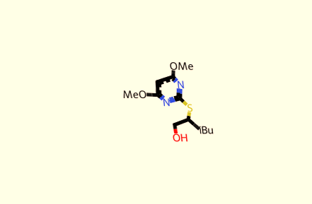 CCC(C)C(CO)Sc1nc(OC)cc(OC)n1